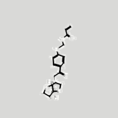 C=CC(=O)OCOc1ccc(C(=O)C[C@H]2CO[C@H]3CCO[C@@H]23)cc1